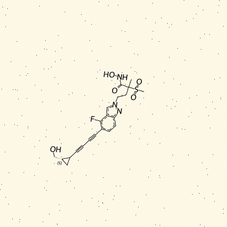 CC(CCn1cc2c(F)c(C#CC#CC3C[C@@H]3CO)ccc2n1)(C(=O)NO)S(C)(=O)=O